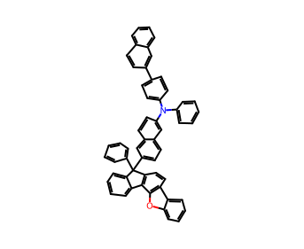 c1ccc(N(c2ccc(-c3ccc4ccccc4c3)cc2)c2ccc3cc(C4(c5ccccc5)c5ccccc5-c5c4ccc4c5oc5ccccc54)ccc3c2)cc1